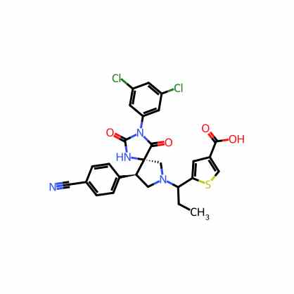 CCC(c1cc(C(=O)O)cs1)N1C[C@@H](c2ccc(C#N)cc2)[C@@]2(C1)NC(=O)N(c1cc(Cl)cc(Cl)c1)C2=O